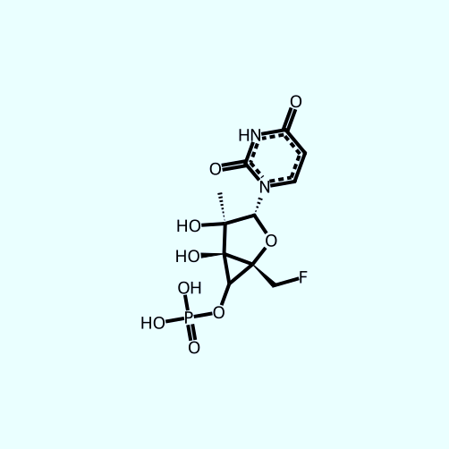 C[C@]1(O)[C@H](n2ccc(=O)[nH]c2=O)O[C@]2(CF)C(OP(=O)(O)O)[C@]12O